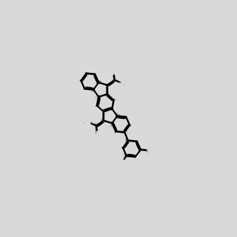 [C-]#[N+]/C(C#N)=C1/c2ccccc2-c2cc3c(cc21)-c1ccc(-c2cc(C(F)(F)F)cc(C(F)(F)F)c2)cc1/C3=C(/C#N)[N+]#[C-]